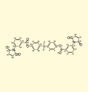 CC(C)(c1ccc(OC(=O)c2cccc(N3C(=O)C=CC3=O)c2)cc1)c1ccc(OC(=O)c2cccc(N3C(=O)C=CC3=O)c2)cc1